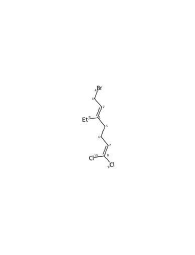 CC/C(=C\CBr)CCC=C(Cl)Cl